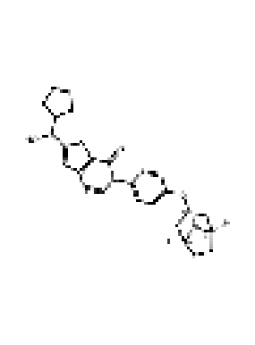 CN1[C@@H]2CC[C@H]1C[C@@H](Oc1ccc(-n3cnc4cc(C(O)C5CCCC5)sc4c3=O)cc1)C2